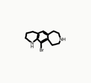 Brc1c2c(cc3c1NCCC3)CCNCC2